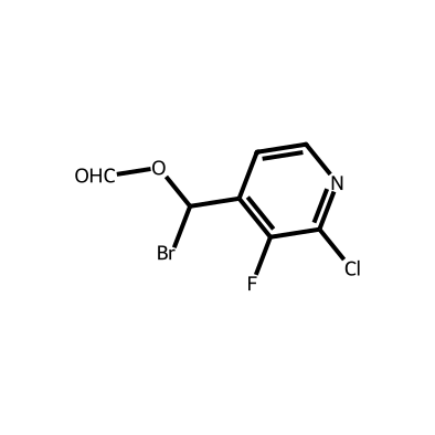 O=COC(Br)c1ccnc(Cl)c1F